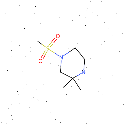 CC1(C)CN(S(C)(=O)=O)CC[N]1